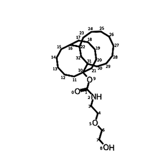 O=C(NCCOCCO)OC12CCCCCC(CCCCC1)C1CCCCCCCCC2C1